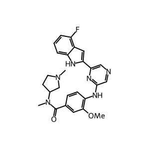 COc1cc(C(=O)N(C)C2CCN(C)C2)ccc1Nc1cncc(-c2cc3c(F)cccc3[nH]2)n1